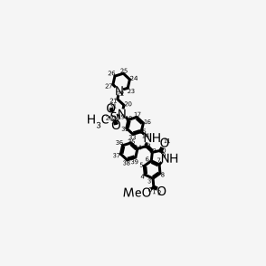 COC(=O)c1ccc2c(c1)NC(=O)/C2=C(\Nc1ccc(N(CCN2CCCCC2)S(C)(=O)=O)cc1)c1ccccc1